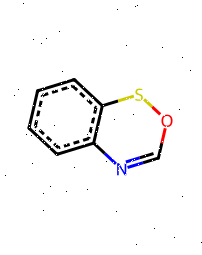 C1=Nc2ccccc2SO1